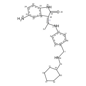 C/C(Nc1ccc(CNCC2CCCCC2)cc1)=C1/C(=O)Nc2ccc(N)cc21